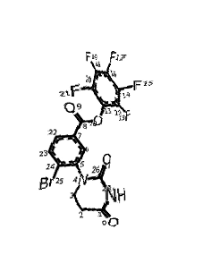 O=C1CCN(c2cc(C(=O)Oc3c(F)c(F)c(F)c(F)c3F)ccc2Br)C(=O)N1